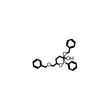 OC1(OCc2ccccc2)CCC(COCc2ccccc2)OP1c1ccccc1